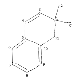 CC1(C)[C]=Cc2ccccc2C1